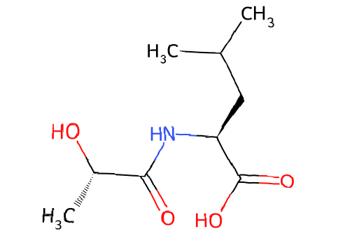 CC(C)C[C@H](NC(=O)[C@H](C)O)C(=O)O